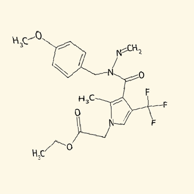 C=NN(Cc1ccc(OC)cc1)C(=O)c1c(C(F)(F)F)cn(CC(=O)OCC)c1C